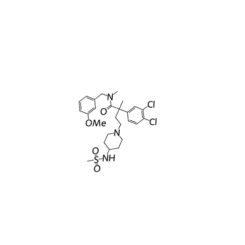 COc1cccc(CN(C)C(=O)C(C)(CCN2CCC(NS(C)(=O)=O)CC2)c2ccc(Cl)c(Cl)c2)c1